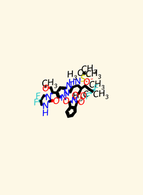 COCC(c1cnn2cc(C(N[S@@+]([O-])C(C)(C)C)C(CC(C)(C)C(C)(F)F)C(=O)ON3C(=O)c4ccccc4C3=O)nc2c1)N1CC(F)(F)CNC1=O